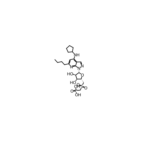 CCCCc1cc(NC2CCCC2)c2cnn([C@@H]3O[C@H](CS(=O)(=O)CP(=O)(O)O)[C@@H](O)[C@H]3O)c2n1